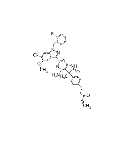 COC(=O)CCc1ccc([C@]2(C)C(=O)Nc3nc(-c4nn(Cc5ccccc5F)c5cc(Cl)c(OC)cc45)nc(N)c32)cc1